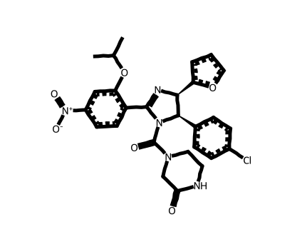 CC(C)Oc1cc([N+](=O)[O-])ccc1C1=N[C@@H](c2ccco2)[C@@H](c2ccc(Cl)cc2)N1C(=O)N1CCNC(=O)C1